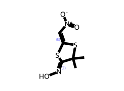 CC1(C)S/C(=C\[N+](=O)[O-])S/C1=N\O